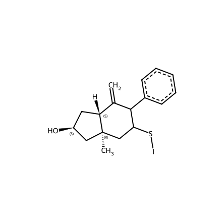 C=C1C(c2ccccc2)C(SI)C[C@@]2(C)C[C@@H](O)C[C@H]12